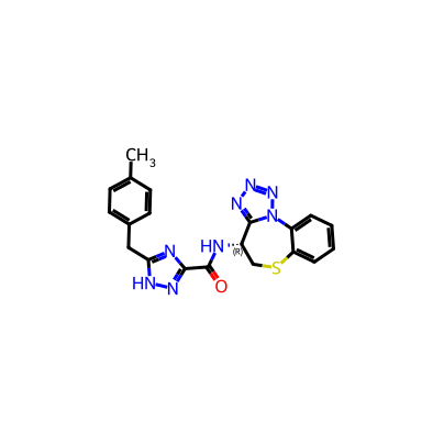 Cc1ccc(Cc2nc(C(=O)N[C@H]3CSc4ccccc4-n4nnnc43)n[nH]2)cc1